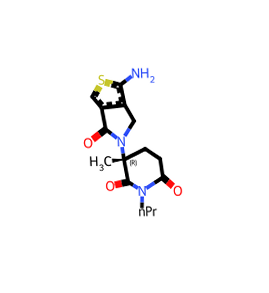 CCCN1C(=O)CC[C@@](C)(N2Cc3c(csc3N)C2=O)C1=O